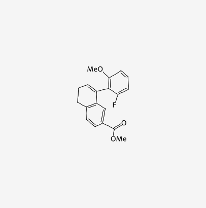 COC(=O)c1ccc2c(c1)C(c1c(F)cccc1OC)=CCC2